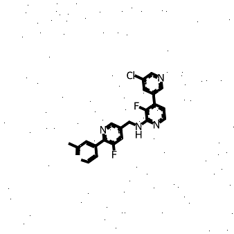 C=C(C)/C=C(\C=C/C)c1ncc(CNc2nccc(-c3cncc(Cl)c3)c2F)cc1F